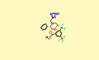 C[C@@H](O[C@H]1OCCN(Cc2nc[nH]n2)[C@H]1c1ccccc1)c1cc(C(F)(F)F)cc(C(F)(F)F)c1